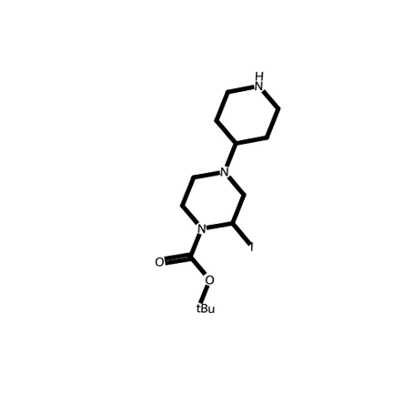 CC(C)(C)OC(=O)N1CCN(C2CCNCC2)CC1I